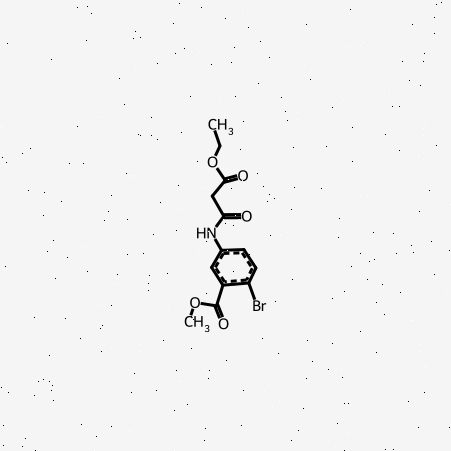 CCOC(=O)CC(=O)Nc1ccc(Br)c(C(=O)OC)c1